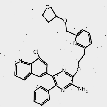 Nc1nc(-c2ccccc2)c(-c2cc(Cl)c3ncccc3c2)nc1OCCc1cccc(COC2CCOC2)n1